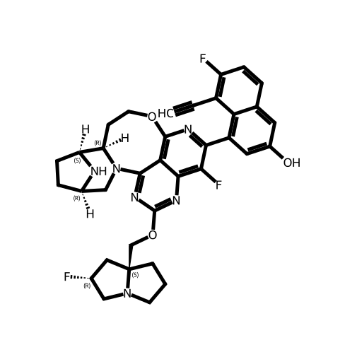 C#Cc1c(F)ccc2cc(O)cc(-c3nc4c5c(nc(OC[C@@]67CCCN6C[C@H](F)C7)nc5c3F)N3C[C@H]5CC[C@H](N5)[C@H]3CCO4)c12